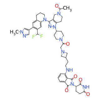 CC(=O)N1CCc2c(c(N3CCCc4cc(-c5cnn(C)c5)c(C(F)F)cc43)nn2C2CCN(C(=O)CN3CC(CCNc4cccc5c4C(=O)N(C4CCC(=O)NC4=O)C5=O)C3)CC2)C1